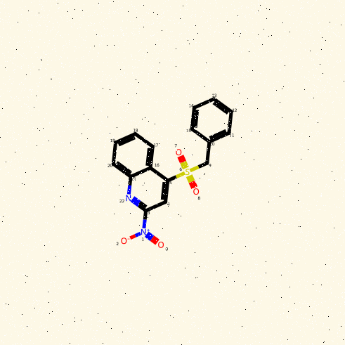 O=[N+]([O-])c1cc(S(=O)(=O)Cc2ccccc2)c2ccccc2n1